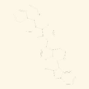 CCc1sc2ccccc2c1C1NC=Nc2c(-c3cc(Cl)cc4c(C5NC=Nc6ccccc65)c(C)sc34)cccc21